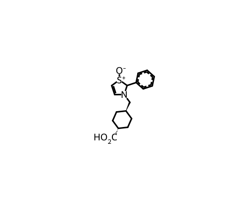 O=C(O)[C@H]1CC[C@H](CN2C=C[S+]([O-])C2c2ccccc2)CC1